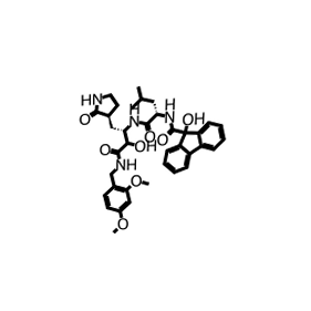 COc1ccc(CNC(=O)C(O)[C@H](C[C@@H]2CCNC2=O)NC(=O)[C@H](CC(C)C)NC(=O)C2(O)c3ccccc3-c3ccccc32)c(OC)c1